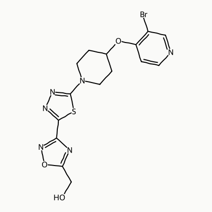 OCc1nc(-c2nnc(N3CCC(Oc4ccncc4Br)CC3)s2)no1